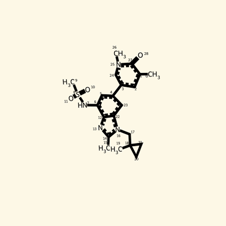 Cc1cc(-c2cc(NS(C)(=O)=O)c3nc(C)n(CC4(C)CC4)c3c2)cn(C)c1=O